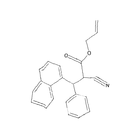 C=CCOC(=O)C(C#N)C(c1ccccc1)c1cccc2ccccc12